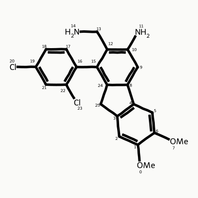 COc1cc2c(cc1OC)-c1cc(N)c(CN)c(-c3ccc(Cl)cc3Cl)c1C2